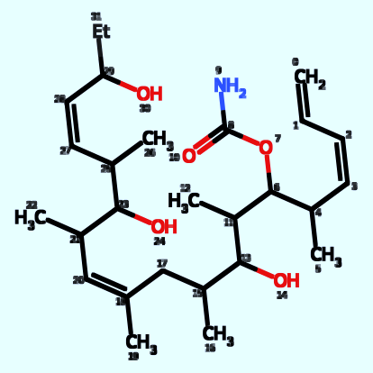 C=C/C=C\C(C)C(OC(N)=O)C(C)C(O)C(C)C/C(C)=C\C(C)C(O)C(C)/C=C\C(O)CC